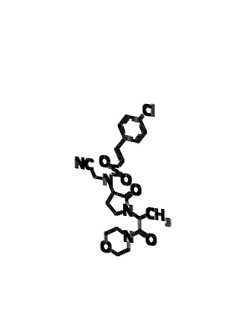 CC(C(=O)N1CCOCC1)N1CCC(N(CC#N)S(=O)(=O)/C=C/c2ccc(Cl)cc2)C1=O